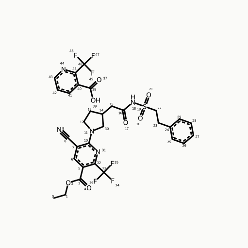 CCOC(=O)c1cc(C#N)c(N2CCC(CC(=O)NS(=O)(=O)CCc3ccccc3)C2)nc1C(F)(F)F.O=C(O)c1cccnc1C(F)(F)F